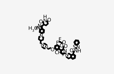 Cc1c(OCCN2CCN(CC3CCN(c4ccc5c(C6CCC(=O)NC6=O)nn(C)c5c4)CC3)CC2)cccc1-c1ccc(N2CCc3cccc(C(=O)Nc4nc5ccccc5s4)c3C2)nc1C(=O)OC(=O)C(F)F